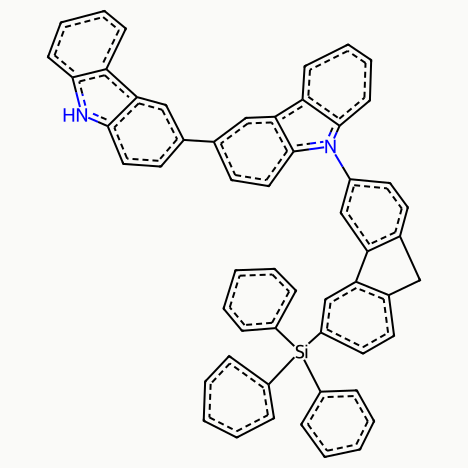 c1ccc([Si](c2ccccc2)(c2ccccc2)c2ccc3c(c2)-c2cc(-n4c5ccccc5c5cc(-c6ccc7[nH]c8ccccc8c7c6)ccc54)ccc2C3)cc1